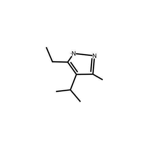 CCC1=C(C(C)C)C(C)=N[N]1